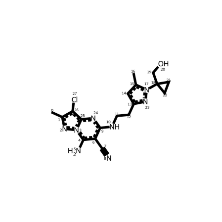 Cc1nn2c(N)c(C#N)c(NCCc3cc(C)n(C4(CO)CC4)n3)nc2c1Cl